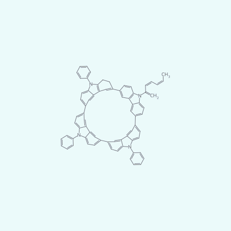 C=C(/C=C\C=C/C)n1c2ccc3cc2c2cc(ccc21)c1ccc2c(c1)c1cc(ccc1n2-c1ccccc1)c1ccc2c(c1)c1cc(ccc1n2-c1ccccc1)c1ccc2c(c1)c1cc3CCc1n2-c1ccccc1